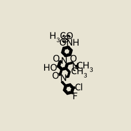 CN(C)C(=O)c1c2c(c(O)c(=O)n1-c1ccc(NS(C)(=O)=O)cc1)C(=O)N(Cc1ccc(F)c(Cl)c1)CC2